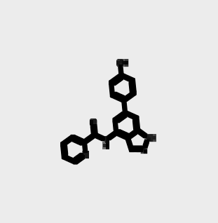 O=C(Nc1cc(-c2ccc(O)cc2)cc2[nH]ncc12)c1ccccn1